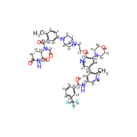 Cc1ccc(N2CC3CC2CN3CCOc2ncc(-c3cc(NC(=O)c4cccc(C(F)(F)F)c4)cnc3C)cc2N2CCOCC2)cc1C(=O)N(C=O)C1CCC(=O)NC1=O